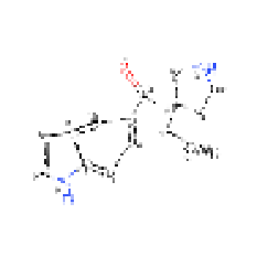 COCC1(C(=O)c2ccc3[nH]ccc3c2)CCNC1